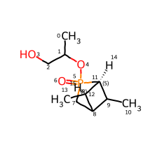 CC(CO)OP1(=O)CC2C(C)[C@H]1[C@@H]2C